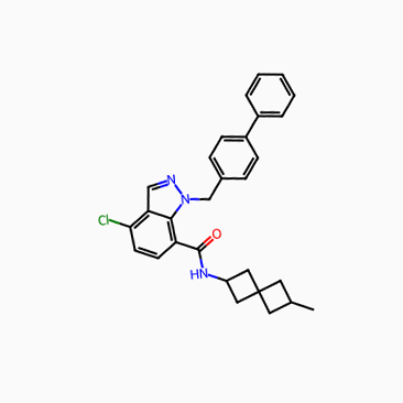 CC1CC2(C1)CC(NC(=O)c1ccc(Cl)c3cnn(Cc4ccc(-c5ccccc5)cc4)c13)C2